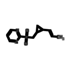 CC=CC1CC1CS(=O)(=O)c1ncccn1